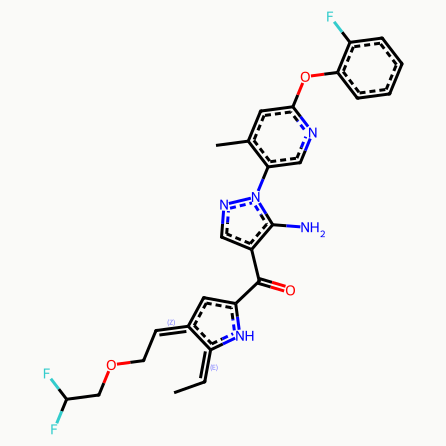 C/C=c1/[nH]c(C(=O)c2cnn(-c3cnc(Oc4ccccc4F)cc3C)c2N)c/c1=C/COCC(F)F